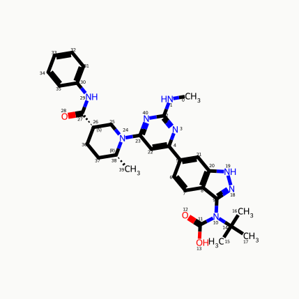 CNc1nc(-c2ccc3c(N(C(=O)O)C(C)(C)C)n[nH]c3c2)cc(N2C[C@@H](C(=O)Nc3ccccc3)CC[C@H]2C)n1